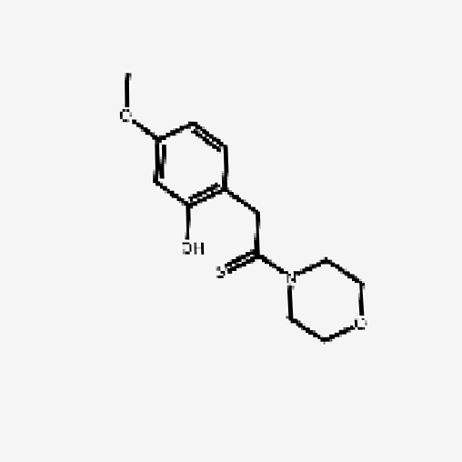 COc1ccc(CC(=S)N2CCOCC2)c(O)c1